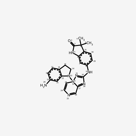 CC1(C)C(=O)Nc2cc(NC3=N[N+]4(N5CCc6ccc(N)cc65)C=CN=CC4=N3)ccc21